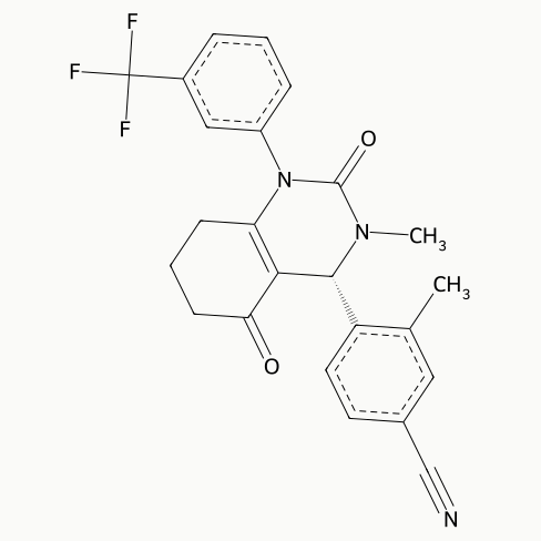 Cc1cc(C#N)ccc1[C@@H]1C2=C(CCCC2=O)N(c2cccc(C(F)(F)F)c2)C(=O)N1C